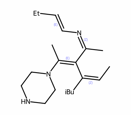 C\C=C(C(/C(C)=N\C=C\CC)=C(/C)N1CCNCC1)\C(C)CC